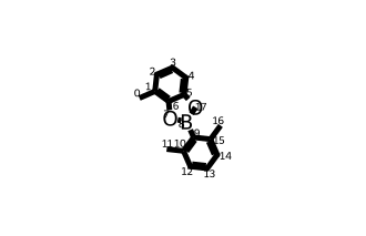 Cc1cccc2c1OB(c1c(C)cccc1C)O2